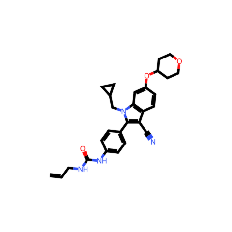 C=CCNC(=O)Nc1ccc(-c2c(C#N)c3ccc(OC4CCOCC4)cc3n2CC2CC2)cc1